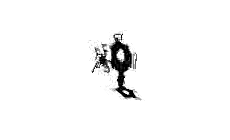 FC(F)(F)Sc1cc(Cl)ccc1C#CC1CCCC1